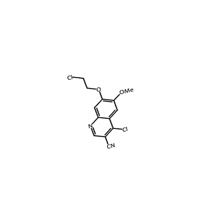 COc1cc2c(Cl)c(C#N)cnc2cc1OCCCl